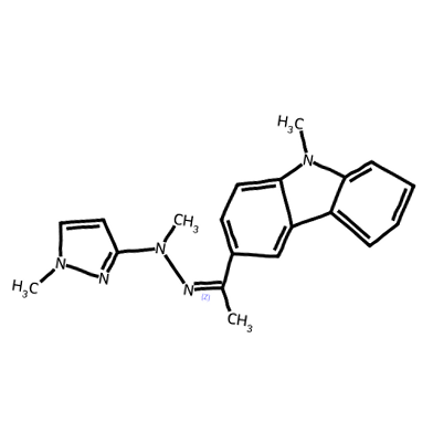 C/C(=N/N(C)c1ccn(C)n1)c1ccc2c(c1)c1ccccc1n2C